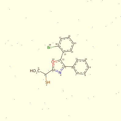 O=C(O)C(S)c1nc(-c2ccccc2)c(-c2ccccc2Br)o1